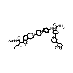 CNC(=O)C(CCC=O)c1noc2c3c(ccc12)CCN(C1CCN(c2ccc(Nc4nc(N5CCCC(N6CCN(C)C6=O)C5)cnc4C(N)=O)cc2)CC1)CC3